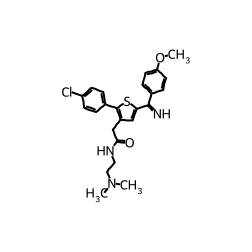 COc1ccc(C(=N)c2cc(CC(=O)NCCN(C)C)c(-c3ccc(Cl)cc3)s2)cc1